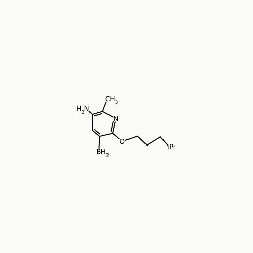 Bc1cc(N)c(C)nc1OCCCC(C)C